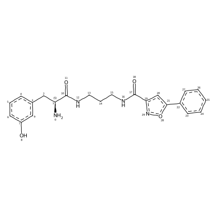 N[C@@H](Cc1cccc(O)c1)C(=O)NCCCNC(=O)c1cc(-c2ccccc2)on1